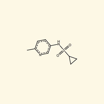 Cc1ccc(NS(=O)(=O)C2CC2)cn1